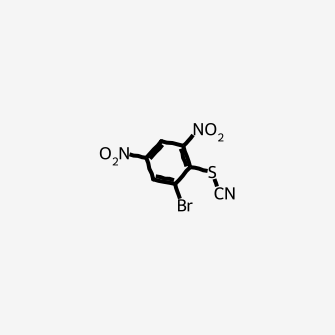 N#CSc1c(Br)cc([N+](=O)[O-])cc1[N+](=O)[O-]